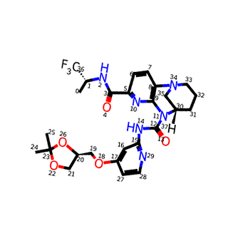 C[C@@H](NC(=O)c1ccc2c(n1)N(C(=O)Nc1cc(OC[C@H]3COC(C)(C)O3)ccn1)[C@H]1CCCN2C1)C(F)(F)F